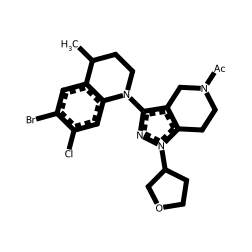 CC(=O)N1CCc2c(c(N3CCC(C)c4cc(Br)c(Cl)cc43)nn2C2CCOC2)C1